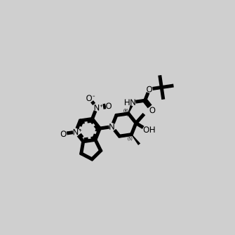 C[C@H]1CN(c2c([N+](=O)[O-])c[n+]([O-])c3c2CCC3)C[C@@H](NC(=O)OC(C)(C)C)C1(C)O